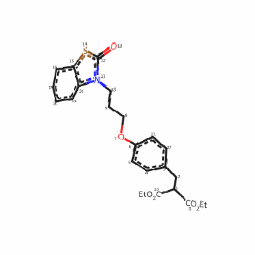 CCOC(=O)C(Cc1ccc(OCCCn2c(=O)sc3ccccc32)cc1)C(=O)OCC